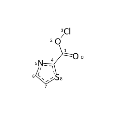 O=C(OCl)c1nccs1